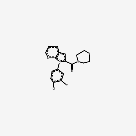 O=C(c1cc2cccnc2n1-c1ccc(Cl)c(Cl)c1)N1CCSCC1